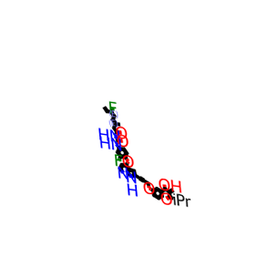 C=C/C(F)=C\C=C(/C)CC(=O)NC(=O)Nc1ccc(Oc2ccnc3[nH]c(C#CCOc4cccc(C(O)C(=C)C(=O)C(C)C)c4)cc23)c(F)c1